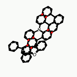 c1ccc(-c2cccc3cccc(-c4ccccc4N(c4cccc(-c5cccc6oc7ccccc7c56)c4)c4ccccc4-c4ccc5c(c4)c4ccccc4n5-c4ccccc4)c23)cc1